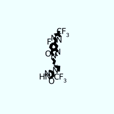 O=c1[nH]ncc(N2CC[C@H]2CCCn2cnc3cc(-c4ncc(C(F)(F)F)cn4)c(F)cc3c2=O)c1C(F)(F)F